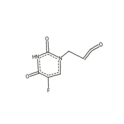 O=C=CCn1cc(F)c(=O)[nH]c1=O